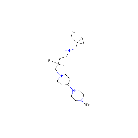 CCC(C)(CCNCC1(CC(C)C)CC1)CN1CCC(N2CCN(C(C)C)CC2)CC1